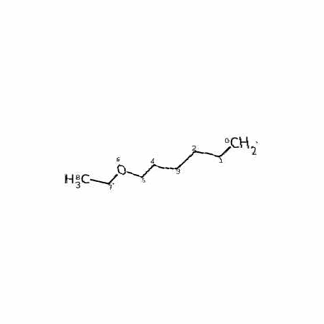 [CH2]CCCCCO[CH]C